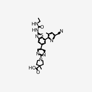 CCNC(=O)Nc1nc2cc(-c3cnc(N4CCC(C)(C(=O)O)CC4)nc3)cc(-c3ncc(C#N)cc3C)c2s1